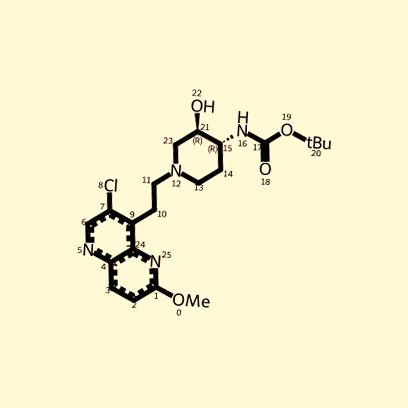 COc1ccc2ncc(Cl)c(CCN3CC[C@@H](NC(=O)OC(C)(C)C)[C@H](O)C3)c2n1